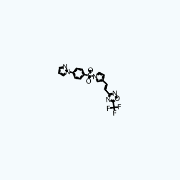 O=S(=O)(c1ccc(-n2cccn2)cc1)n1ccc(C=Cc2noc(C(F)(F)F)n2)c1